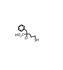 O=C(O)C(Cl)(CCCS)Cc1ccccc1